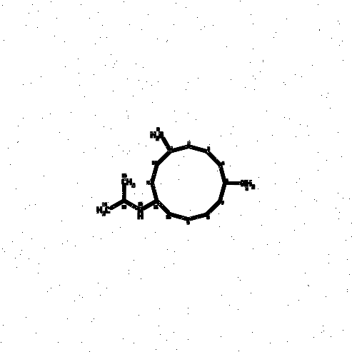 BC1CCCC(N)CCCCC(NC(C)C)CC1